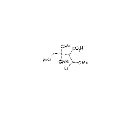 CCC(OC)C(C(=O)O)C(COC(C)=O)(OC)OC